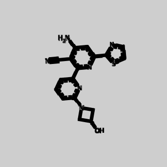 N#Cc1c(N)cc(-c2nccs2)nc1-c1cccc(N2CC(O)C2)n1